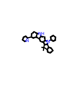 CC1(C)c2ccccc2-c2c1c1cc3c(cc1n2-c1ccccc1)[nH]c1ccc(-c2ccccn2)cc13